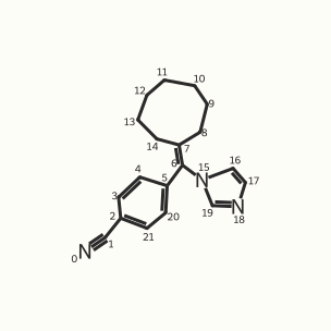 N#Cc1ccc(C(=C2CCCCCCC2)n2ccnc2)cc1